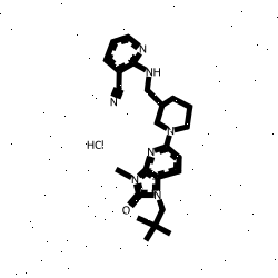 Cl.Cn1c(=O)n(CC(C)(C)C)c2ccc(N3CCCC(CNc4ncccc4C#N)C3)nc21